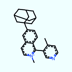 Cc1ccncc1-c1c2ccc(C34CC5CC(CC(C5)C3)C4)cc2cc[n+]1C